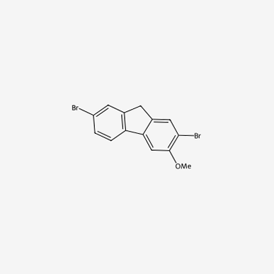 COc1cc2c(cc1Br)Cc1cc(Br)ccc1-2